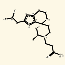 C[C@H]1C[C@@]2(CCN1CCC(N)=O)OCCc1cc(CC(F)F)sc12